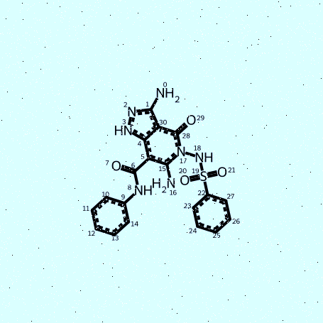 Nc1n[nH]c2c(C(=O)Nc3ccccc3)c(N)n(NS(=O)(=O)c3ccccc3)c(=O)c12